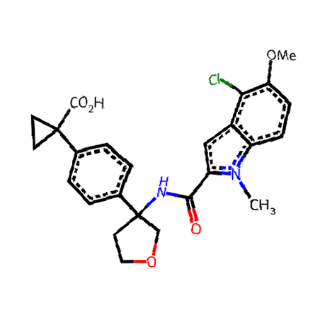 COc1ccc2c(cc(C(=O)NC3(c4ccc(C5(C(=O)O)CC5)cc4)CCOC3)n2C)c1Cl